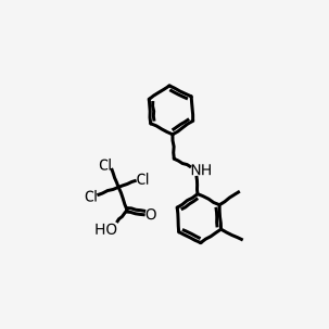 Cc1cccc(NCc2ccccc2)c1C.O=C(O)C(Cl)(Cl)Cl